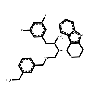 CCc1cccc(CNCC(C(N)Cc2cc(F)cc(F)c2)[C@H]2SCCc3[nH]c4ccccc4c32)c1